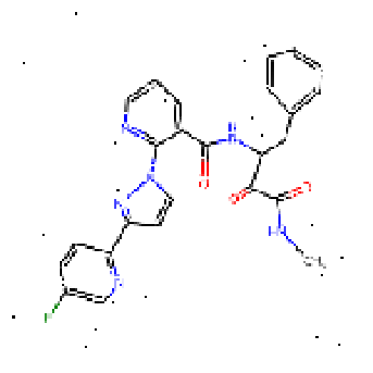 CNC(=O)C(=O)C(Cc1ccccc1)NC(=O)c1cccnc1-n1ccc(-c2ccc(F)cn2)n1